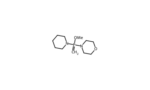 C=P(OC)(N1CCCCC1)N1CCOCC1